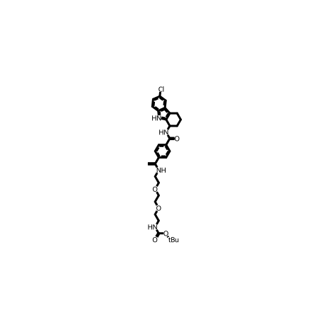 C=C(NCCOCCOCCNC(=O)OC(C)(C)C)c1ccc(C(=O)NC2CCCc3c2[nH]c2ccc(Cl)cc32)cc1